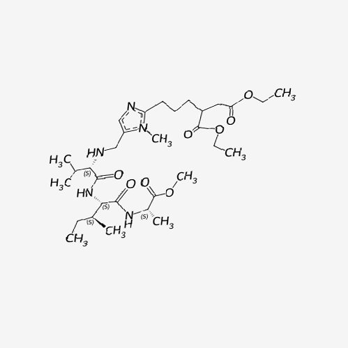 CCOC(=O)CC(CCCc1ncc(CN[C@H](C(=O)N[C@H](C(=O)N[C@@H](C)C(=O)OC)[C@@H](C)CC)C(C)C)n1C)C(=O)OCC